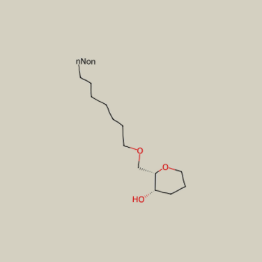 CCCCCCCCCCCCCCCCOC[C@@H]1OCCC[C@@H]1O